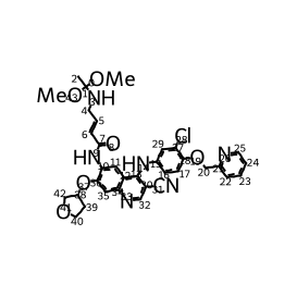 COC(C)(NC/C=C/C(=O)Nc1cc2c(Nc3ccc(OCc4ccccn4)c(Cl)c3)c(C#N)cnc2cc1O[C@H]1CCOC1)OC